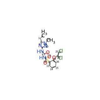 CCc1nc(NC(=O)NS(=O)(=O)c2ccccc2OC(Cl)=CCl)nn1C